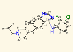 C=C(C)CN1CCC(Cc2cc3c(Nc4cccc(Cl)c4F)ncnc3cc2CC)CC1